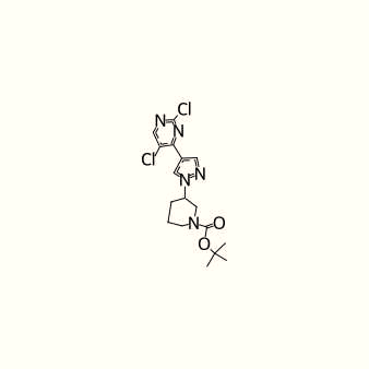 CC(C)(C)OC(=O)N1CCCC(n2cc(-c3nc(Cl)ncc3Cl)cn2)C1